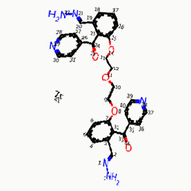 NN=Cc1cccc(OCCOCCOc2cccc(C=NN)c2C(=O)c2ccncc2)c1C(=O)c1ccncc1.[Zr]